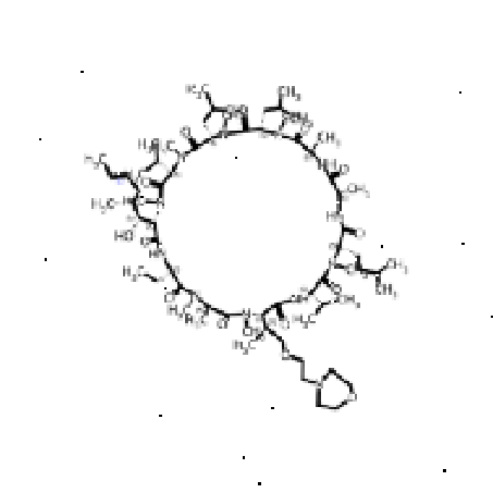 C/C=C/C[C@@H](C)[C@@H](O)[C@H]1C(=O)N[C@@H](CC)C(=O)N(C)[C@H](C)C(=O)N(C)[C@@H]([C@H](C)COCCN2CCOCC2)C(=O)N[C@@H](C(C)C)C(=O)N(C)[C@@H](CCC(C)C)C(=O)N[C@@H](C)C(=O)N[C@H](C)C(=O)N(C)[C@@H](CC(C)C)C(=O)N(C)[C@@H](CC(C)C)C(=O)N(C)[C@@H](C(C)C)C(=O)N1C